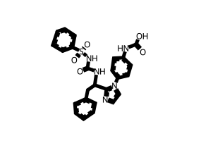 O=C(O)Nc1ccc(-n2ccnc2C(Cc2ccccc2)NC(=O)NS(=O)(=O)c2ccccc2)cc1